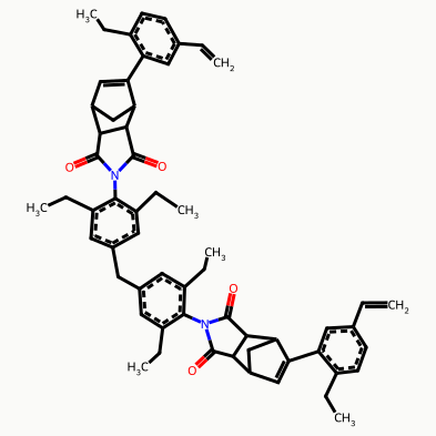 C=Cc1ccc(CC)c(C2=CC3CC2C2C(=O)N(c4c(CC)cc(Cc5cc(CC)c(N6C(=O)C7C8C=C(c9cc(C=C)ccc9CC)C(C8)C7C6=O)c(CC)c5)cc4CC)C(=O)C32)c1